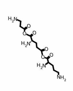 NCCCC(N)C(=O)OC(=O)CC[C@H](N)C(=O)OC(=O)CCN